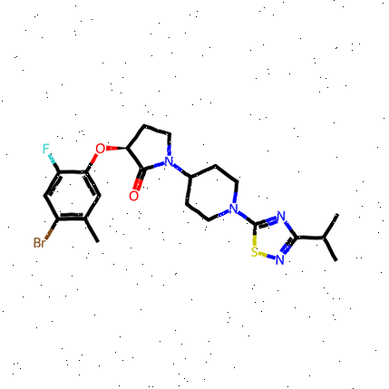 Cc1cc(O[C@H]2CCN(C3CCN(c4nc(C(C)C)ns4)CC3)C2=O)c(F)cc1Br